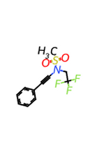 CS(=O)(=O)N(C#Cc1ccccc1)CC(F)(F)F